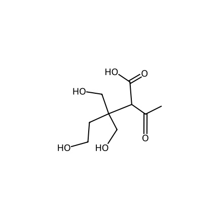 CC(=O)C(C(=O)O)C(CO)(CO)CCO